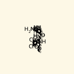 CCOC(=O)CC(NC(=O)CNC(=O)c1ccc(Cl)c(NC(=N)N)c1)c1cc(Cl)cc(Cl)c1